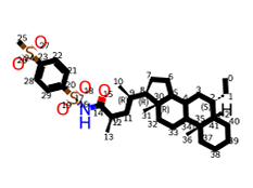 CC[C@H]1CC2C3CC[C@H]([C@H](C)C[C@@H](C)C(=O)NS(=O)(=O)c4ccc(S(C)(=O)=O)cc4)[C@@]3(C)CCC2[C@@]2(C)CCCC[C@@H]12